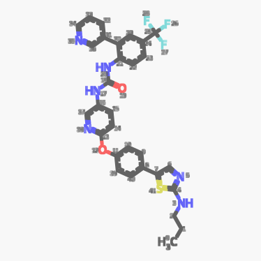 CCCNc1ncc(-c2ccc(Oc3ccc(NC(=O)Nc4ccc(C(F)(F)F)cc4-c4cccnc4)cn3)cc2)s1